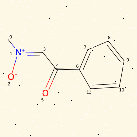 C[N+]([O-])=CC(=O)c1ccccc1